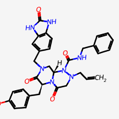 C=CCN1CC(=O)N2[C@@H](Cc3ccc(O)cc3)C(=O)N(Cc3ccc4[nH]c(=O)[nH]c4c3)C[C@@H]2N1C(=O)NCc1ccccc1